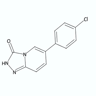 O=c1[nH]nc2ccc(-c3ccc(Cl)cc3)cn12